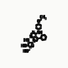 CCOc1ccc(Nc2ncnc3c2c(-c2ccccc2)cn3[C@@H]2O[C@H](CO)[C@H](O)[C@@H]2O)cc1